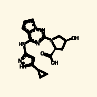 O=C(O)[C@@H]1C[C@H](O)CN1c1nc(Nc2cc(C3CC3)[nH]n2)c2cccn2n1